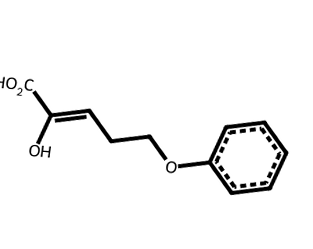 O=C(O)C(O)=CCCOc1ccccc1